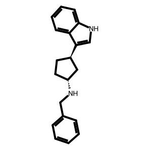 c1ccc(CN[C@@H]2CC[C@@H](c3c[nH]c4ccccc34)C2)cc1